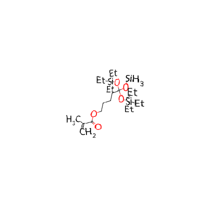 C=C(C)C(=O)OCCCCC(O[SiH3])(O[Si](CC)(CC)CC)O[Si](CC)(CC)CC